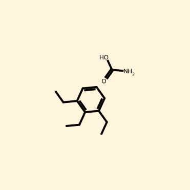 CCc1cccc(CC)c1CC.NC(=O)O